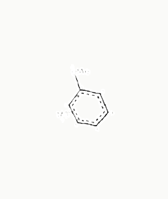 COc1ccccc1.[MgH2]